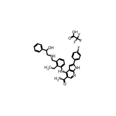 CCc1c(CNCC(O)c2ccccc2)cccc1Nc1c(C(N)=O)cnc2[nH]c(-c3ccc(F)cc3)cc12.O=C(O)C(F)(F)F